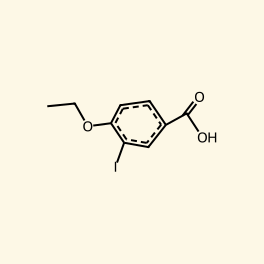 CCOc1ccc(C(=O)O)cc1I